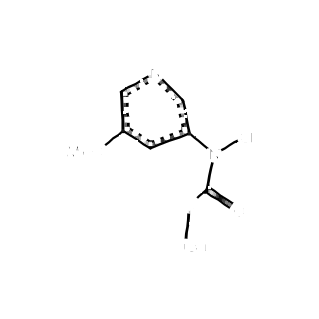 COc1cncc(N(Cl)C(=O)OC(C)(C)C)c1